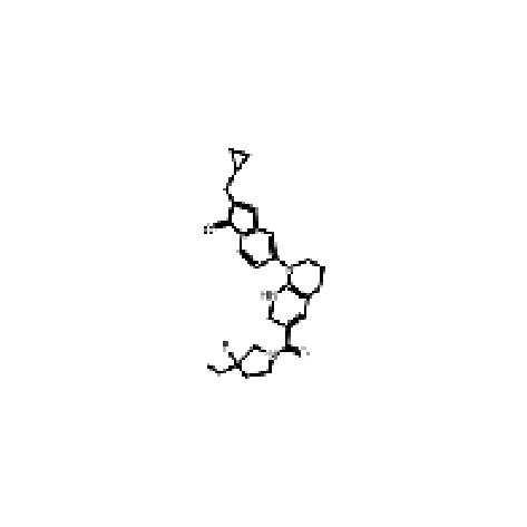 CCC1(F)CCN(C(=O)C2=CC3=C(NC2)N(c2ccc4c(c2)C=C(CC2CC2)C4=O)CCC3)C1